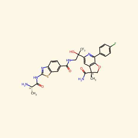 C[C@H](N)C(=O)Nc1nc2ccc(C(=O)NCC(O)(c3cc4c(c(-c5ccc(F)cc5)n3)OC[C@]4(C)C(N)=O)C(F)(F)F)cc2s1